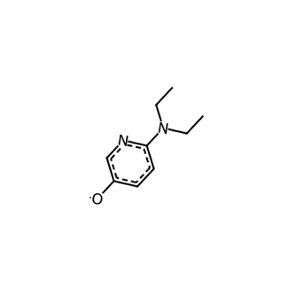 CCN(CC)c1ccc([O])cn1